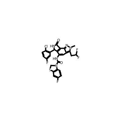 Cn1nc2c3c(c(NC(=O)N4CSc5cc(F)ccc54)cc2c1CC(F)F)C(c1cc(F)ccc1Cl)NC3=O